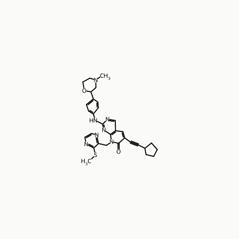 CSc1nccnc1Cn1c(=O)c(C#CC2CCCC2)cc2cnc(Nc3ccc(C4CN(C)CCO4)cc3)nc21